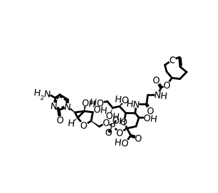 Nc1ccn([C@@H]2[C@@H]3O[C@H](COP(=O)(O)OC4(C(=O)O)CC(O)C(NC(=O)CNC(=O)OC5CC/C=C/CCC5)C([C@H](O)[C@H](O)CO)O4)[C@H](O)[C@]32O)c(=O)n1